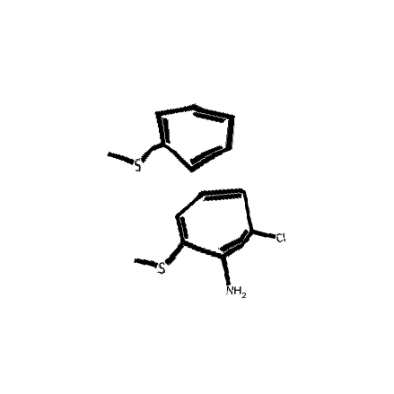 CSc1cccc(Cl)c1N.CSc1ccccc1